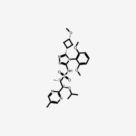 COc1cccc(OC)c1-n1c(NS(=O)(=O)[C@@H](C)[C@@H](OC(C)C)c2ncc(C)cn2)nnc1[C@H]1C[C@@H](OC)C1